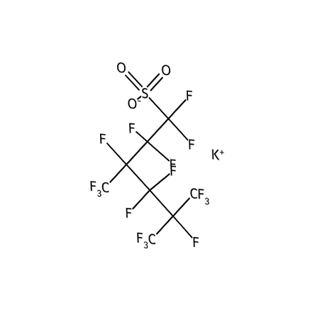 O=S(=O)([O-])C(F)(F)C(F)(F)C(F)(C(F)(F)F)C(F)(F)C(F)(C(F)(F)F)C(F)(F)F.[K+]